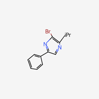 CC(C)c1ncc(-c2ccccc2)nc1Br